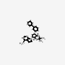 Cc1ncnc2c1ccn2[C@@H]1C[C@H](c2cccc(-c3cccnc3)c2)[C@H]2OC(C)(C)O[C@H]21